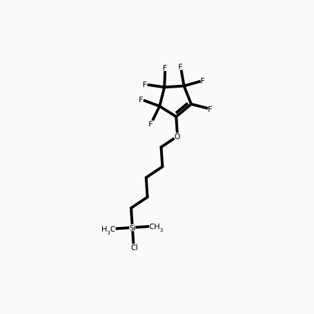 C[Si](C)(Cl)CCCCCOC1=C(F)C(F)(F)C(F)(F)C1(F)F